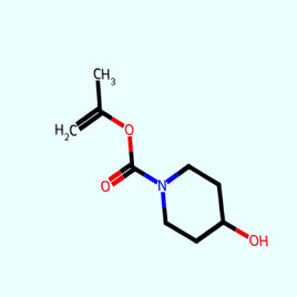 C=C(C)OC(=O)N1CCC(O)CC1